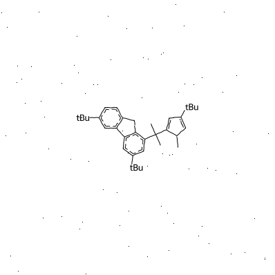 CC1C=C(C(C)(C)C)C=C1C(C)(C)c1cc(C(C)(C)C)cc2c1Cc1ccc(C(C)(C)C)cc1-2